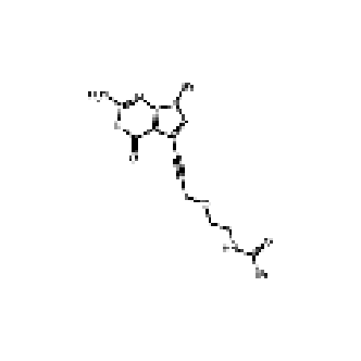 CC(C)C(=O)NCCOCC#Cc1cn(C(C)C)c2nc(N)[nH]c(=O)c12